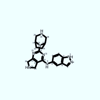 c1cc2[nH]ncc2cc1Nc1nc(N2C3CCC2CNC3)nc2c1CNC2